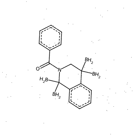 BC1(B)CN(C(=O)c2ccccc2)C(B)(B)c2ccccc21